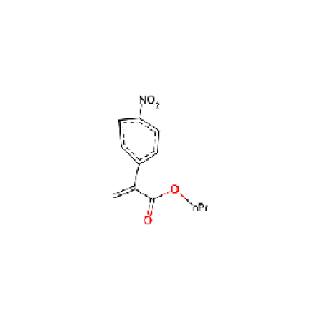 C=C(C(=O)OCCC)c1ccc([N+](=O)[O-])cc1